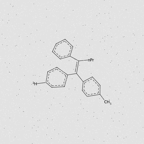 [2H]c1ccc(/C(=C(/CCC)c2ccccc2)c2ccc(C)cc2)cc1